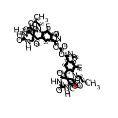 C[C@@H]1CN2c3c(cc4c(OC(=O)Oc5noc6c(F)c7c(cc56)CC5(C(=O)NC(=O)NC5=O)[C@H]5[C@H](C)O[C@H](C)CN75)noc4c3F)CC3(C(=O)NC(=O)NC3=O)[C@H]2[C@H](C)O1